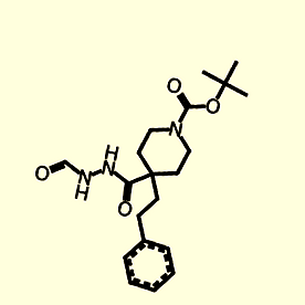 CC(C)(C)OC(=O)N1CCC(CCc2ccccc2)(C(=O)NNC=O)CC1